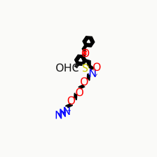 CN(CCOCCOCCOCCN=[N+]=[N-])C(=O)c1cc2c(OCc3ccccc3)ccc(C=O)c2s1